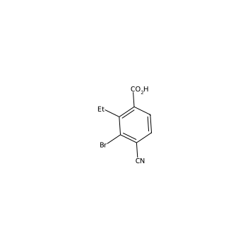 CCc1c(C(=O)O)ccc(C#N)c1Br